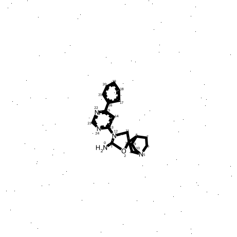 NC1OC2(CN3CCC2CC3)CN1c1cc(-c2ccccc2)ncn1